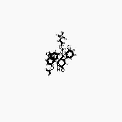 CC(C)Oc1ccc(F)c(F)c1[C@H]1NC(=O)C[C@@H](c2cccc(Cl)c2)[C@]12C(=O)N(COCC[Si](C)(C)C)c1cc(Cl)ccc12